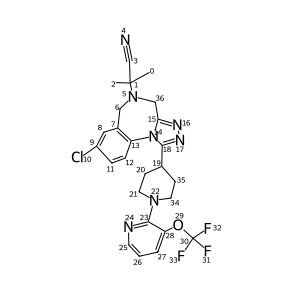 CC(C)(C#N)N1Cc2cc(Cl)ccc2-n2c(nnc2C2CCN(c3ncccc3OC(F)(F)F)CC2)C1